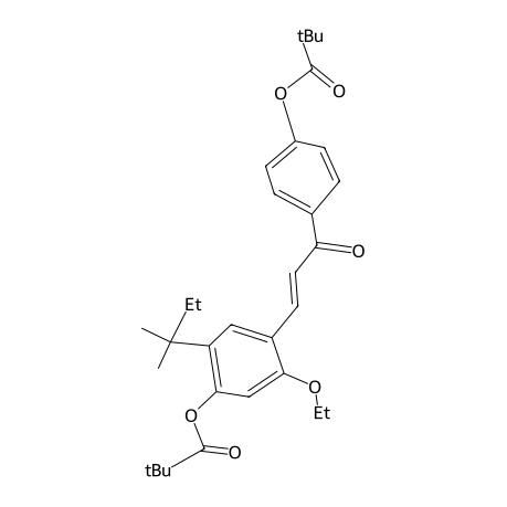 CCOc1cc(OC(=O)C(C)(C)C)c(C(C)(C)CC)cc1C=CC(=O)c1ccc(OC(=O)C(C)(C)C)cc1